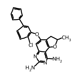 CC1Cc2c(Oc3cc(-c4ccccc4)ccc3Cl)cc3nc(N)nc(N)c3c2O1